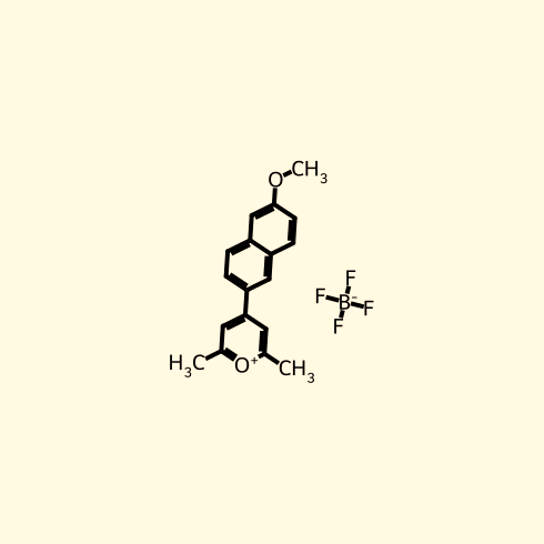 COc1ccc2cc(-c3cc(C)[o+]c(C)c3)ccc2c1.F[B-](F)(F)F